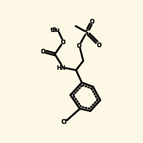 CC(C)(C)OC(=O)NC(COS(C)(=O)=O)c1cccc(Cl)c1